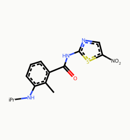 Cc1c(NC(C)C)cccc1C(=O)Nc1ncc([N+](=O)[O-])s1